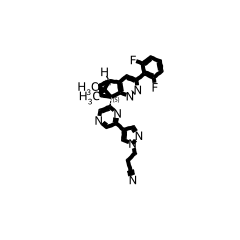 CC1(C)[C@H]2CC[C@]1(c1cncc(-c3cnn(CCC#N)c3)n1)c1nnc(-c3c(F)cccc3F)cc12